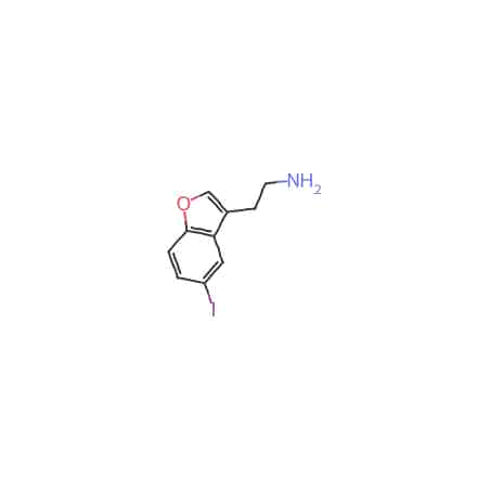 NCCc1coc2ccc(I)cc12